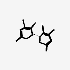 CC1=CC(C)=C(F)C([C@H]2CC(C)=CC(C)=C2F)C1